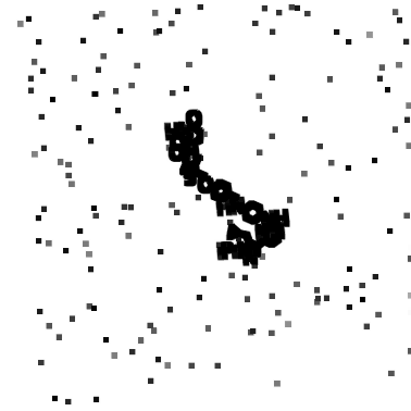 CC(C)n1ncc(-c2ccnc(N[C@H]3CC[C@H](NCc4ccc(OCc5scc6c5CN(C5CCC(=O)NC5=O)C6=O)cc4)CC3)n2)c1CC1CC1